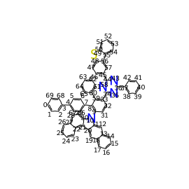 c1ccc(-c2ccc(-c3c(-n4c5cc6ccccc6cc5c5c6ccccc6ccc54)ccc(-c4nc(-c5ccccc5)nc(-c5ccc6sc7ccccc7c6c5)n4)c3-c3ccccc3)cc2)cc1